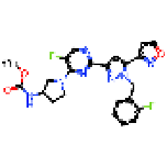 CC(C)(C)OC(=O)NC1CCN(c2nc(-c3cc(-c4ccon4)n(Cc4ccccc4F)n3)ncc2F)C1